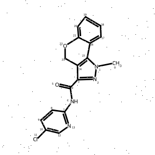 Cn1nc(C(=O)Nc2ccc(Cl)cn2)c2c1-c1ccccc1OC2